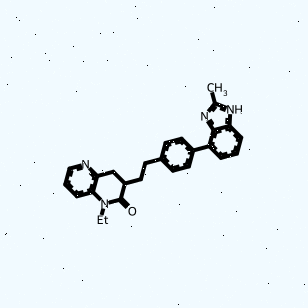 CCN1C(=O)C(CCc2ccc(-c3cccc4[nH]c(C)nc34)cc2)Cc2ncccc21